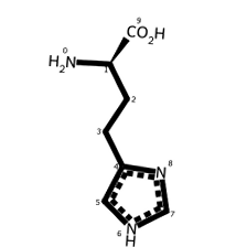 N[C@H](CCc1c[nH]cn1)C(=O)O